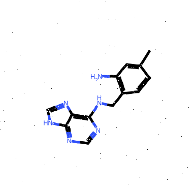 Cc1ccc(CNc2ncnc3[nH]cnc23)c(N)c1